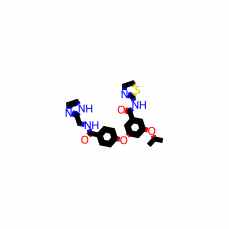 CC(C)Oc1cc(Oc2ccc(C(=O)NCc3ncc[nH]3)cc2)cc(C(=O)NC2=NCCS2)c1